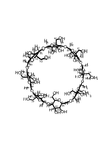 CC1[C@@H]2OC(CO)[C@@H](O[C@H]3OC(CO)[C@@H](O[C@@H]4OC(CO)[C@@H](O[C@H]5OC(CO)[C@@H](O[C@H]6OC(CO)[C@@H](O[C@H]7OC(CO)[C@@H](O[C@H]8OC(CO)[C@@H](O[C@H]9OC(CO)[C@@H](O2)[C@H](O)C9O)[C@H](O)C8O)[C@H](O)C7O)[C@H](O)C6O)[C@H](O)C5O)[C@H](O)C4O)[C@H](O)C3O)[C@@H]1O